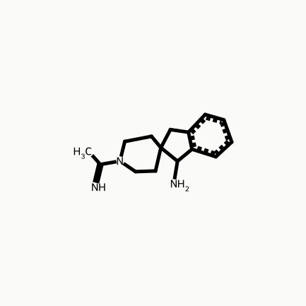 CC(=N)N1CCC2(CC1)Cc1ccccc1C2N